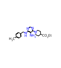 CCOC(=O)C1CCN(c2ncnc(NCc3ccc(C)cc3)c2N)CC1